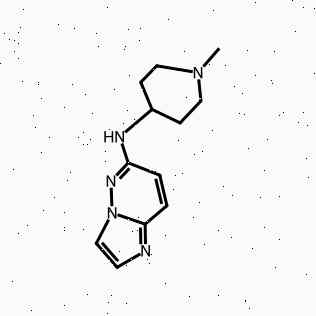 CN1CCC(Nc2ccc3nccn3n2)CC1